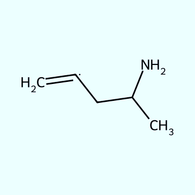 C=[C]CC(C)N